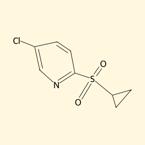 O=S(=O)(c1ccc(Cl)cn1)C1CC1